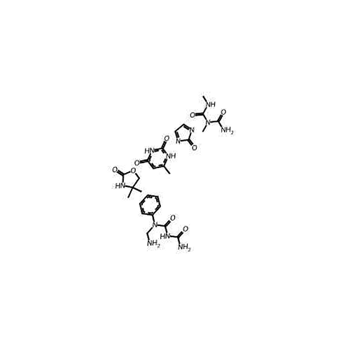 CC1(C)COC(=O)N1.CNC(=O)N(C)C(N)=O.Cc1cc(=O)[nH]c(=O)[nH]1.NCN(C(=O)NC(N)=O)c1ccccc1.O=C1N=CC=N1